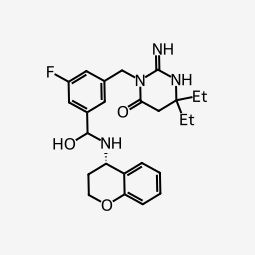 CCC1(CC)CC(=O)N(Cc2cc(F)cc(C(O)N[C@H]3CCOc4ccccc43)c2)C(=N)N1